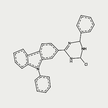 ClC1NC(c2ccc3c4ccccc4n(-c4ccccc4)c3c2)=NC(c2ccccc2)N1